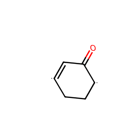 O=C1[CH]CC[C]=C1